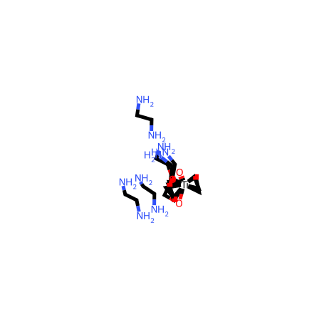 NCCN.NCCN.NCCN.NCC[O][Ti]123456(=[O])([CH2]CN)([CH2]CN)([CH2]C[O]1)([CH2][CH2]2)([CH2][CH2]3)([CH2][CH2]4)([CH2][CH2]5)[CH2][CH2]6